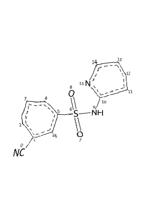 N#Cc1cccc(S(=O)(=O)Nc2ccccn2)c1